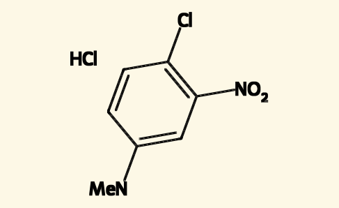 CNc1ccc(Cl)c([N+](=O)[O-])c1.Cl